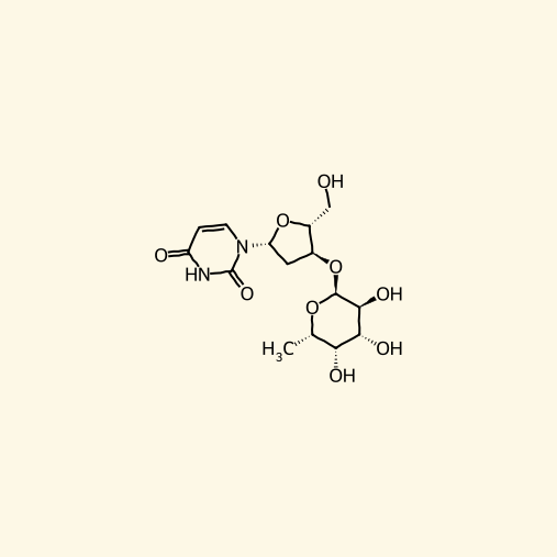 C[C@@H]1O[C@@H](O[C@H]2C[C@H](n3ccc(=O)[nH]c3=O)O[C@@H]2CO)[C@@H](O)[C@H](O)[C@@H]1O